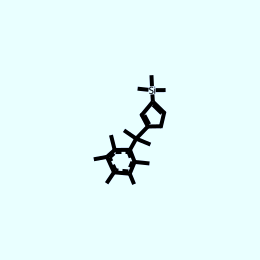 Cc1c(C)c(C)c(C(C)(C)C2=CC([Si](C)(C)C)=CC2)c(C)c1C